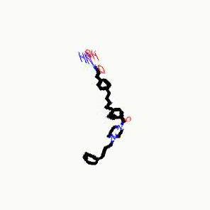 O=C(Cc1ccc(CCCCc2ccc(C(=O)N3CCN(CC=Cc4ccccc4)CC3)cc2)cc1)NO